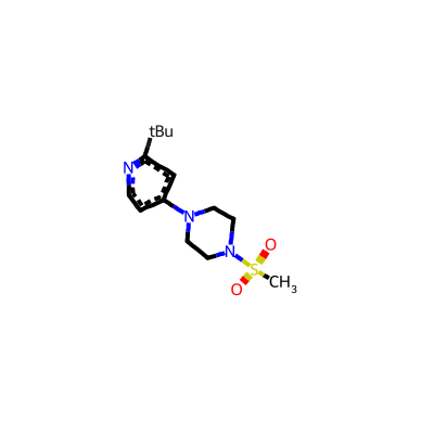 CC(C)(C)c1cc(N2CCN(S(C)(=O)=O)CC2)ccn1